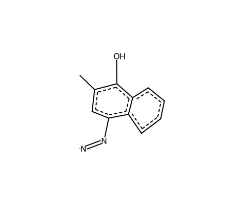 Cc1cc(N=[N])c2ccccc2c1O